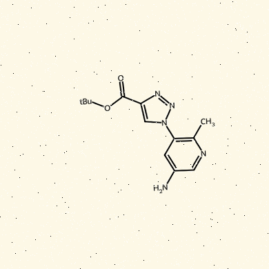 Cc1ncc(N)cc1-n1cc(C(=O)OC(C)(C)C)nn1